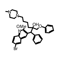 COc1nc2ccc(Br)cc2cc1C(c1ccccc1)C(O)(CCCCN1CCN(C)CC1)COc1ccccc1